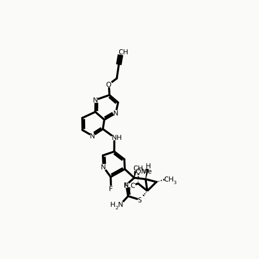 C#CCOc1cnc2c(Nc3cnc(F)c([C@@]4(C)N=C(N)S[C@]5([C@@H](OC)C(F)(F)F)[C@H]4[C@@H]5C)c3)nccc2n1